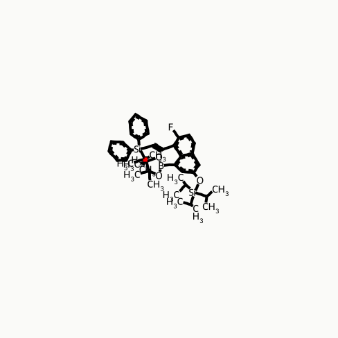 CC(C)[Si](Oc1cc(B2OC(C)(C)C(C)(C)O2)c2c(C#C[Si](c3ccccc3)(c3ccccc3)C(C)(C)C)c(F)ccc2c1)(C(C)C)C(C)C